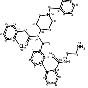 CC(c1cccc(-c2ccccc2C(=O)NCCN)c1)N(C(=O)Cc1ccccc1Cl)C1CCN(Cc2ccccc2)CC1